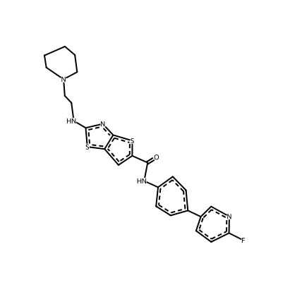 O=C(Nc1ccc(-c2ccc(F)nc2)cc1)c1cc2sc(NCCN3CCCCC3)nc2s1